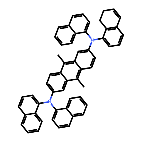 Cc1c2ccc(N(c3cccc4ccccc34)c3cccc4ccccc34)cc2c(C)c2ccc(N(c3cccc4c3CCC=C4)c3cccc4ccccc34)cc12